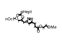 CCCCCCCCOCC(Cn1cc(CCC(=O)OCCOC)nn1)OC(=O)CCCCCCC